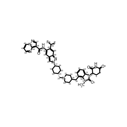 Cn1c(=O)n(C2CCC(=O)NC2=O)c2cccc(CC3CCN(C[C@H]4CC[C@H](n5cc6cc(NC(=O)c7cnn8cccnc78)c(C(F)F)cc6n5)CC4)CC3)c21